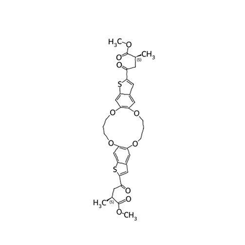 COC(=O)[C@@H](C)CC(=O)c1cc2cc3c(cc2s1)OCCCOc1cc2sc(C(=O)C[C@H](C)C(=O)OC)cc2cc1OCCCO3